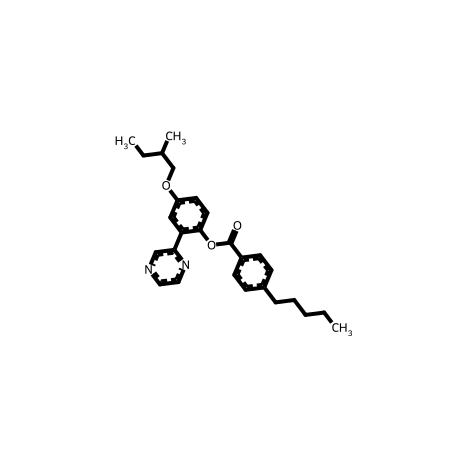 CCCCCc1ccc(C(=O)Oc2ccc(OCC(C)CC)cc2-c2cnccn2)cc1